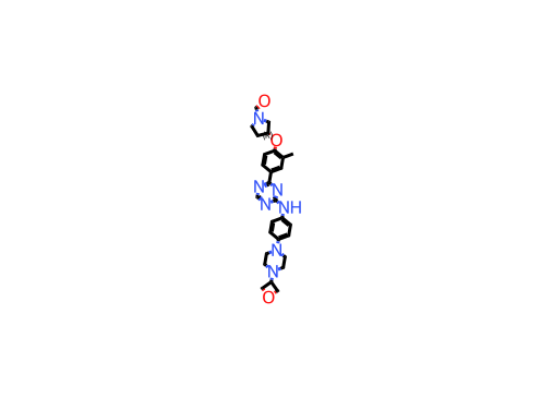 Cc1cc(-c2ncnc(Nc3ccc(N4CCN(C5COC5)CC4)cc3)n2)ccc1O[C@@H]1CCN(C=O)C1